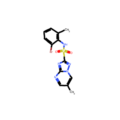 Cc1cnc2nc(S(=O)(=O)Nc3c(C)cccc3Br)nn2c1